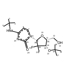 CC(C)(C)Nc1ccn([C@@H]2O[C@H](CO)[C@H](OC(C)(C)C)C2(F)F)c(=O)n1